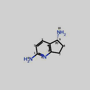 Nc1ccc2c(n1)CC[C@H]2N